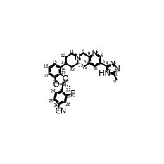 Cc1nnc(-c2cnc(CN3CCC(c4cccc5c4O[C@@](C)(c4ccc(C#N)cc4F)O5)CC3)c(C)c2)[nH]1